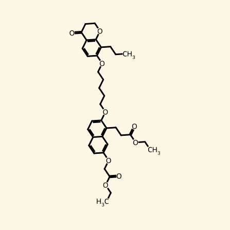 CCCc1c(OCCCCCOc2ccc3ccc(OCC(=O)OCC)cc3c2CCC(=O)OCC)ccc2c1OCCC2=O